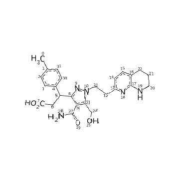 Cc1ccc(C(CC(=O)O)c2nn(CCc3ccc4c(n3)NCCC4)c(CO)c2C(N)=O)cc1